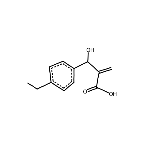 C=C(C(=O)O)C(O)c1ccc(CC)cc1